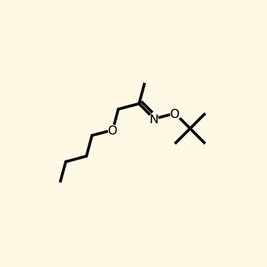 CCCCOCC(C)=NOC(C)(C)C